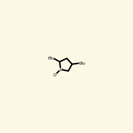 CC(C)(C)C1CC(C(C)(C)C)[S+]([O-])C1